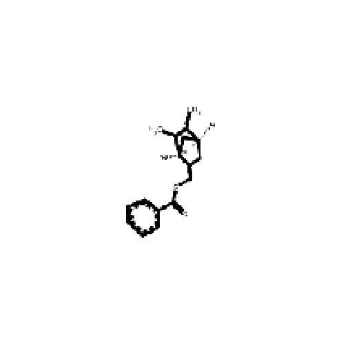 CC1C(C)[C@H]2C[C@@H]1CC2COC(=O)c1ccccc1